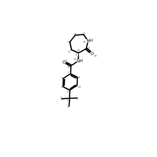 CC(C)(C)c1ccc(C(=O)N[C@H]2CCCCNC2=O)cc1